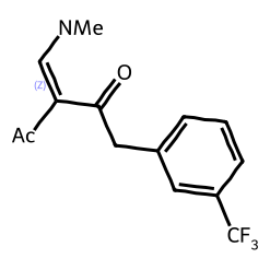 CN/C=C(/C(C)=O)C(=O)Cc1cccc(C(F)(F)F)c1